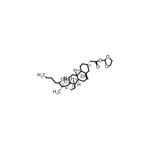 CCCCC(O)[C@@H](C)[C@H]1CC[C@H]2[C@@H]3CC=C4C[C@@H](CC(=O)OC5OCCO5)CC[C@]4(C)[C@H]3CC[C@]12C